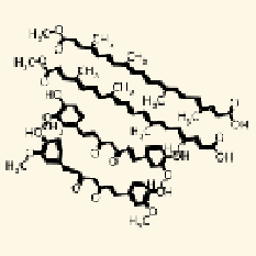 COC(=O)/C=C/C(C)=C/C=C/C(C)=C/C=C/C=C(C)/C=C/C=C(C)/C=C/C(=O)O.COC(=O)/C=C/C(C)=C/C=C/C(C)=C/C=C/C=C(C)/C=C/C=C(C)/C=C/C(=O)O.COc1cc(/C=C/C(=O)CC(=O)/C=C/c2ccc(O)c(OC)c2)ccc1O.COc1cc(/C=C/C(=O)CC(=O)/C=C/c2ccc(O)c(OC)c2)ccc1O